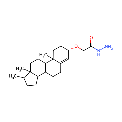 CC1CCC2C3CCC4=C[C@@H](OCC(=O)NN)CCC4(C)C3CCC12C